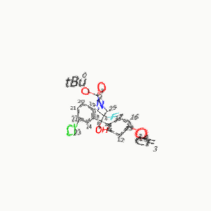 CC(C)(C)OC(=O)N1CC(F)(C(O)(c2ccc(OC(F)(F)F)cc2)c2cccc(Cl)c2)C1